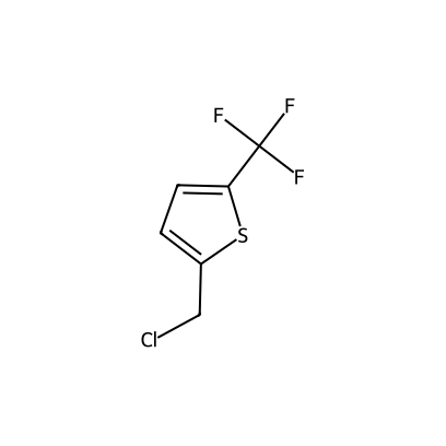 FC(F)(F)c1ccc(CCl)s1